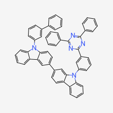 c1ccc(-c2cccc(-n3c4ccccc4c4cc(-c5ccc6c7ccccc7n(-c7cccc(-c8nc(-c9ccccc9)nc(-c9ccccc9)n8)c7)c6c5)ccc43)c2)cc1